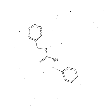 O=C(N[CH]c1ccccc1)OCc1ccccc1